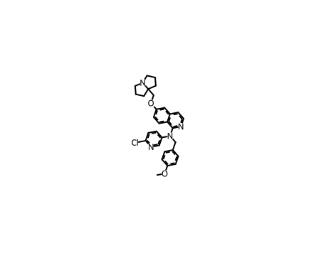 COc1ccc(CN(c2ccc(Cl)nc2)c2nccc3cc(OCC45CCCN4CCC5)ccc23)cc1